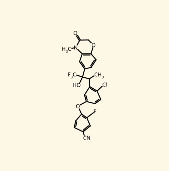 CC(c1cc(Oc2ccc(C#N)cc2F)ccc1Cl)C(O)(c1ccc2c(c1)N(C)C(=O)CO2)C(F)(F)F